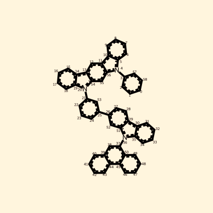 c1ccc(-n2c3ccccc3c3cc4c5ccccc5n(-c5cccc(-c6ccc7c8ccccc8n(-c8cc9ccccc9c9ccccc89)c7c6)c5)c4cc32)cc1